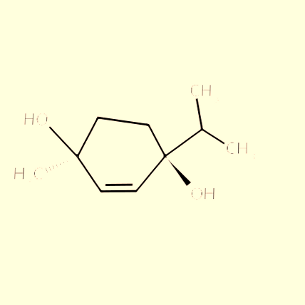 CC(C)[C@]1(O)C=C[C@@](C)(O)CC1